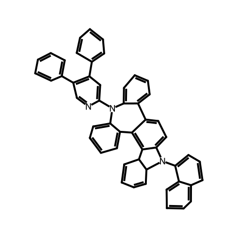 C1=CC2c3c(ccc4c3-c3ccccc3N(c3cc(-c5ccccc5)c(-c5ccccc5)cn3)c3ccccc3-4)N(c3cccc4ccccc34)C2C=C1